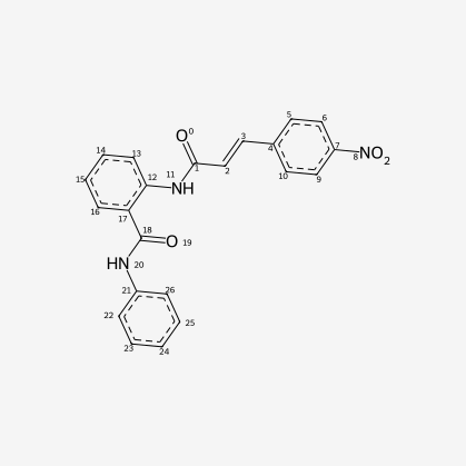 O=C(C=Cc1ccc([N+](=O)[O-])cc1)Nc1ccccc1C(=O)Nc1ccccc1